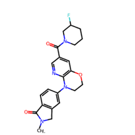 CN1Cc2cc(N3CCOc4cc(C(=O)N5CCCC(F)C5)cnc43)ccc2C1=O